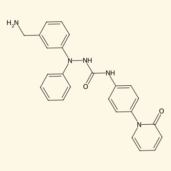 NCc1cccc(N(NC(=O)Nc2ccc(-n3ccccc3=O)cc2)c2ccccc2)c1